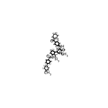 Cc1c(NC(=O)c2ccc(N3CCC(C)CC3)cc2)cccc1-c1cn(C)c(=O)c(Nc2ccc(C(=O)N3CCCCC3)cc2)n1